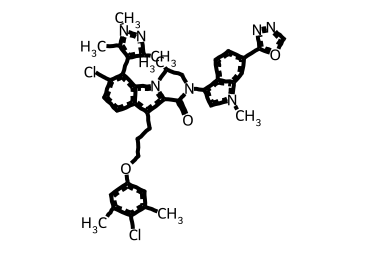 Cc1cc(OCCCc2c3n(c4c(-c5c(C)nn(C)c5C)c(Cl)ccc24)C(C)CN(c2cn(C)c4cc(-c5nnco5)ccc24)C3=O)cc(C)c1Cl